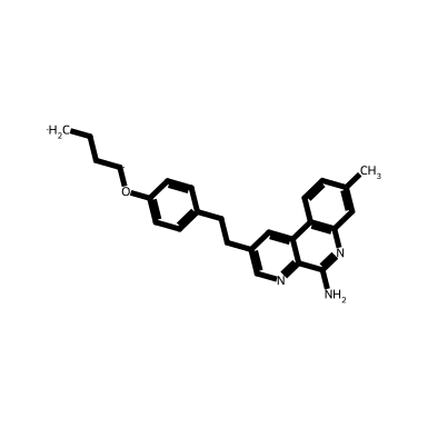 [CH2]CC[CH]Oc1ccc(CCc2cnc3c(N)nc4cc(C)ccc4c3c2)cc1